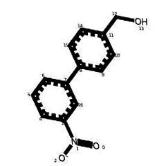 O=[N+]([O-])c1cccc(-c2ccc(CO)cc2)c1